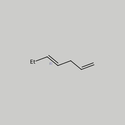 C=CC/C=C/CC